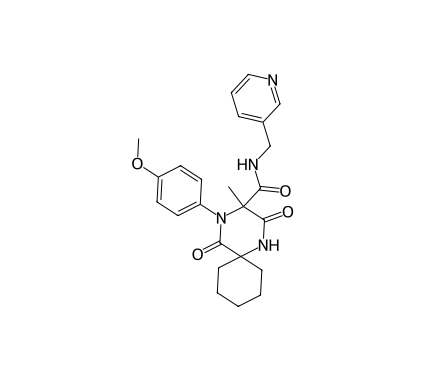 COc1ccc(N2C(=O)C3(CCCCC3)NC(=O)C2(C)C(=O)NCc2cccnc2)cc1